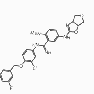 CNc1ccc(NC2=NC3COCC3O2)cc1C(=N)Nc1ccc(OCc2cccc(F)c2)c(Cl)c1